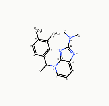 COc1cc(C(C)n2cccc3nc(N(C)C)nc2-3)ccc1C(=O)O